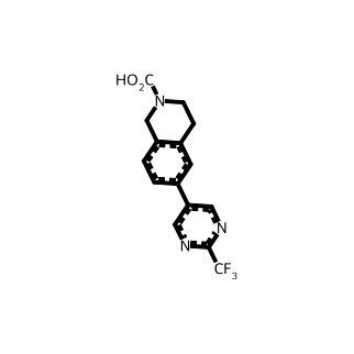 O=C(O)N1CCc2cc(-c3cnc(C(F)(F)F)nc3)ccc2C1